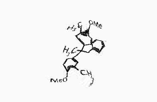 COc1ccc(C(C)(Cc2cc[c]cc2)c2ccc(OC)c(C)c2)cc1C